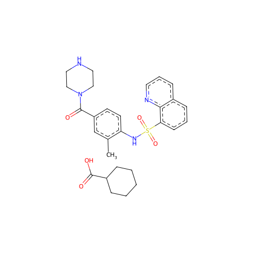 Cc1cc(C(=O)N2CCNCC2)ccc1NS(=O)(=O)c1cccc2cccnc12.O=C(O)C1CCCCC1